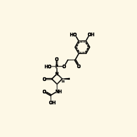 C[C@H]1C(NC(=O)O)C(=O)N1P(=O)(O)OCC(=O)c1ccc(O)c(O)c1